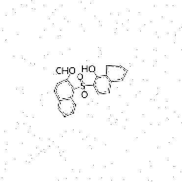 O=Cc1ccc2ccccc2c1S(=O)(=O)c1ccc2ccccc2c1O